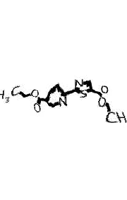 CCOC(=O)c1ccc(-c2ncc(C(=O)OCC)s2)nc1